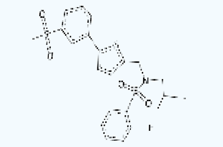 CC(C)CN(Cc1ccc(-c2cccc(S(C)(=O)=O)c2)s1)S(=O)(=O)c1ccccc1F